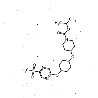 CC(C)OC(=O)N1CCC(OC2CCC(Oc3cnc(S(C)(=O)=O)cn3)CC2)CC1